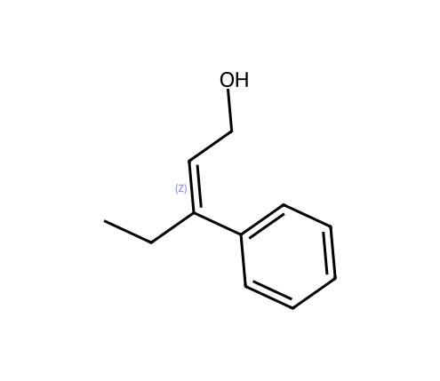 CC/C(=C/CO)c1ccccc1